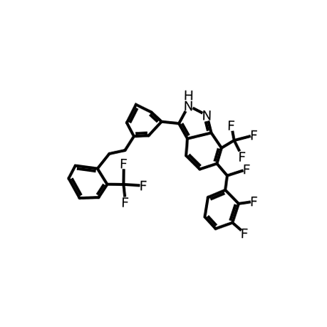 Fc1cccc(C(F)c2ccc3c(-c4cccc(CCc5ccccc5C(F)(F)F)c4)[nH]nc3c2C(F)(F)F)c1F